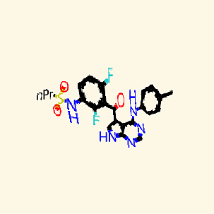 CCCS(=O)(=O)Nc1ccc(F)c(C(=O)c2c[nH]c3ncnc(Nc4ccc(C)cc4)c23)c1F